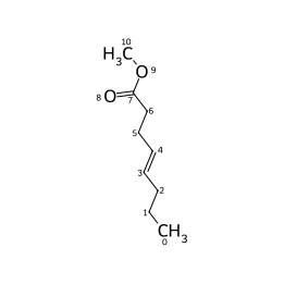 CCC/C=C/CCC(=O)OC